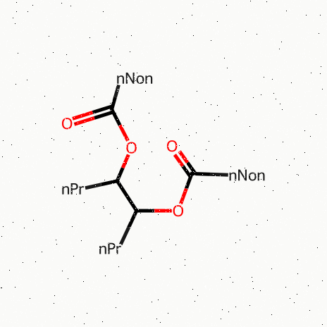 CCCCCCCCCC(=O)OC(CCC)C(CCC)OC(=O)CCCCCCCCC